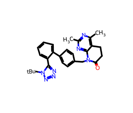 Cc1nc(C)c2c(n1)N(Cc1ccc(-c3ccccc3-c3nnnn3C(C)(C)C)cc1)C(=O)CC2